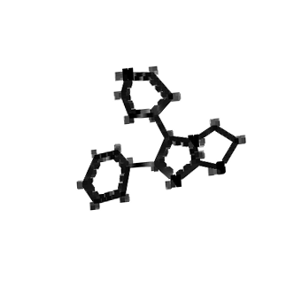 c1ccc(-c2nc3n(c2-c2ccncc2)CCS3)cc1